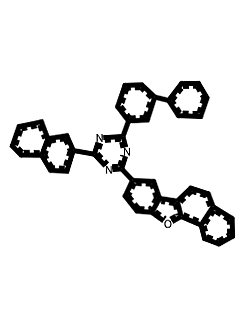 c1ccc(-c2cccc(-c3nc(-c4ccc5ccccc5c4)nc(-c4ccc5oc6c7ccccc7ccc6c5c4)n3)c2)cc1